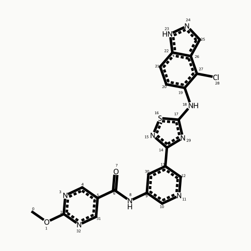 COc1ncc(C(=O)Nc2cncc(-c3nsc(Nc4ccc5[nH]ncc5c4Cl)n3)c2)cn1